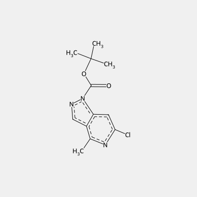 Cc1nc(Cl)cc2c1cnn2C(=O)OC(C)(C)C